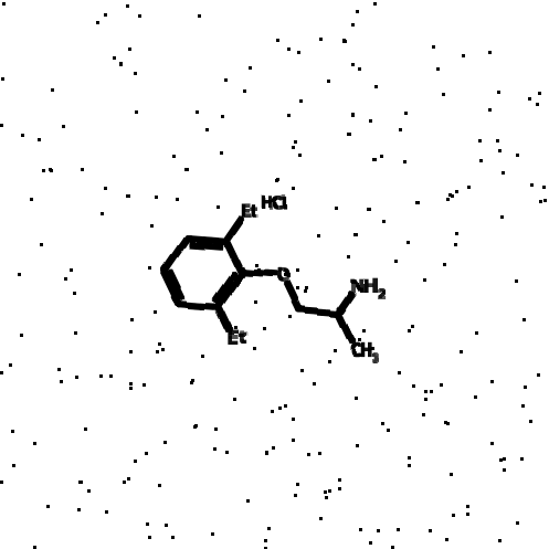 CCc1cccc(CC)c1OCC(C)N.Cl